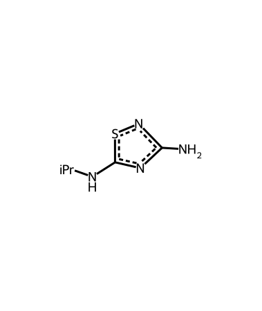 CC(C)Nc1nc(N)ns1